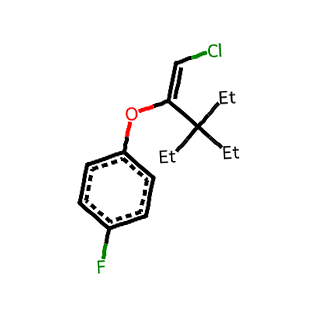 CCC(CC)(CC)C(=CCl)Oc1ccc(F)cc1